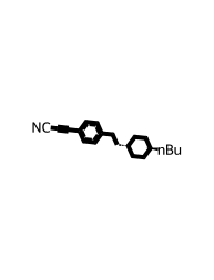 CCCC[C@H]1CC[C@H](CCc2ccc(C#CC#N)cc2)CC1